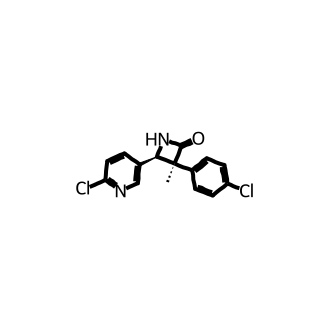 C[C@@]1(c2ccc(Cl)cc2)C(=O)N[C@@H]1c1ccc(Cl)nc1